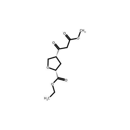 CCOC(=O)[C@H]1C[C@@H](C(=O)CC(=O)OC)CO1